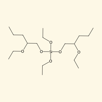 CCCC(CO[Si](OCC)(OCC)OCC(CCC)OCC)OCC